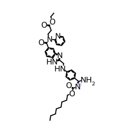 CCCCCCCCOC(=O)/N=C(/N)c1ccc(NCc2nc3cc(C(=O)N(CCC(=O)OCC)c4ccccn4)ccc3[nH]2)cc1